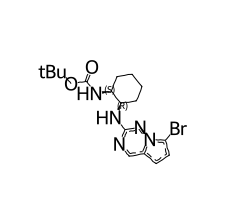 CC(C)(C)OC(=O)N[C@H]1CCCC[C@H]1Nc1ncc2ccc(Br)n2n1